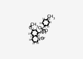 COc1cc(NS(=O)(=O)c2ccc(C)cc2)c2c(ccc[n+]2[O-])c1